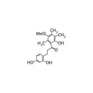 COc1c(C)c(C)c(O)c(C(=O)CCc2ccc(O)cc2O)c1C